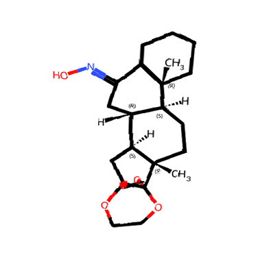 C[C@]12CCCCC1C(=NO)C[C@@H]1[C@@H]2CC[C@@]2(C)[C@H]1CC13OCCOC12OCCO3